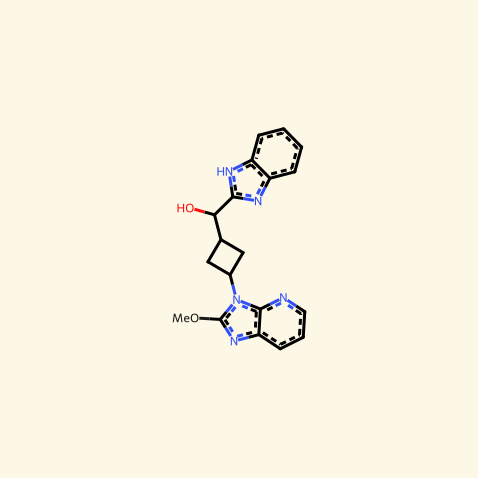 COc1nc2cccnc2n1C1CC(C(O)c2nc3ccccc3[nH]2)C1